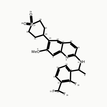 COc1cc2nc(NC(C)c3cccc(C(F)F)c3F)ccc2cc1C1CCS(=O)(=O)CC1